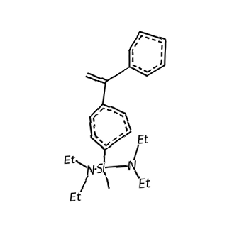 C=C(c1ccccc1)c1ccc([Si](C)(N(CC)CC)N(CC)CC)cc1